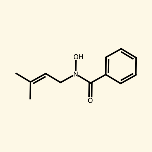 CC(C)=CCN(O)C(=O)c1ccccc1